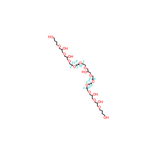 OCCCCOCC(O)COCC(O)COCC(F)(F)OC(F)(F)C(F)(F)OC(F)(F)COCC(O)COCC(F)(F)OC(F)(F)C(F)(F)OC(F)(F)COCC(O)COCC(O)COCCCCO